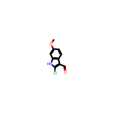 COc1ccc2c(C=O)c(Cl)[nH]c2c1